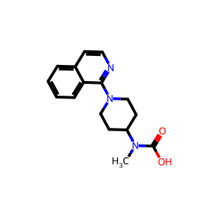 CN(C(=O)O)C1CCN(c2nccc3ccccc23)CC1